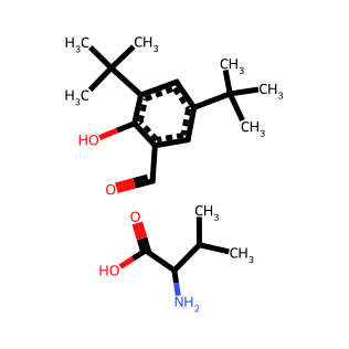 CC(C)(C)c1cc(C=O)c(O)c(C(C)(C)C)c1.CC(C)C(N)C(=O)O